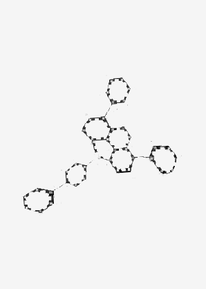 c1ccc(-c2ccc(-n3c4ccc(-c5ccccc5)c5ccc6c(-c7ccccc7)ccc3c6c54)cc2)cc1